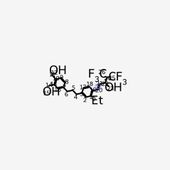 CCc1cc(CCCc2ccc(CO)c(CO)c2)ccc1/C=C/C(O)C(C(F)(F)F)C(F)(F)F